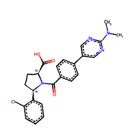 CN(C)c1ncc(-c2ccc(C(=O)N3[C@@H](c4ccccc4Cl)CC[C@H]3C(=O)O)cc2)cn1